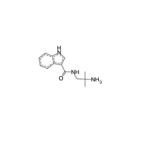 CC(C)(N)CNC(=O)c1c[nH]c2ccccc12